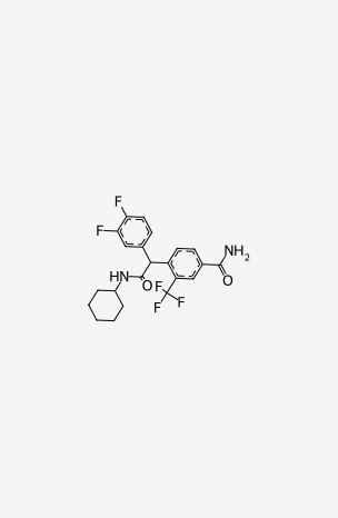 NC(=O)c1ccc(C(C(=O)NC2CCCCC2)c2ccc(F)c(F)c2)c(C(F)(F)F)c1